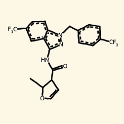 CC1OC=CC1C(=O)Nc1nn(Cc2ccc(C(F)(F)F)cc2)c2ccc(C(F)(F)F)cc12